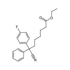 CCOC(=O)CCCCCC(C#N)(c1ccccc1)c1ccc(F)cc1